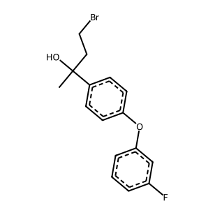 CC(O)(CCBr)c1ccc(Oc2cccc(F)c2)cc1